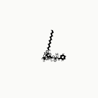 CCCCCCCCCCCCO[C@H]1O[C@H]([C@@H](C)OC(=O)NCc2ccccc2)[C@@H]2OC(C)(C)O[C@H]12